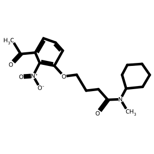 CC(=O)c1cccc(OCCCC(=O)N(C)C2CCCCC2)c1[N+](=O)[O-]